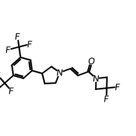 O=C(C=CN1CCC(c2cc(C(F)(F)F)cc(C(F)(F)F)c2)C1)N1CC(F)(F)C1